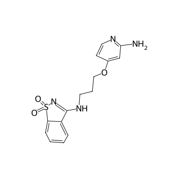 Nc1cc(OCCCNC2=NS(=O)(=O)c3ccccc32)ccn1